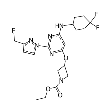 CCOC(=O)N1CC(Oc2cc(NC3CCC(F)(F)CC3)nc(-n3ccc(CF)n3)n2)C1